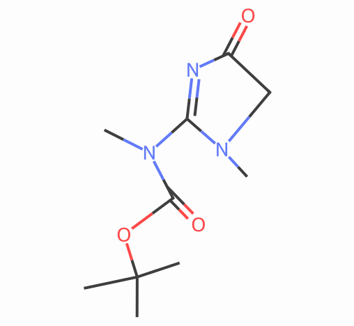 CN1CC(=O)N=C1N(C)C(=O)OC(C)(C)C